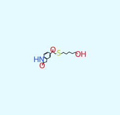 O=C1Cc2cc(C(=O)CSCCCCCCO)ccc2N1